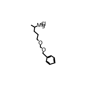 C[CH](CCCOCOCc1ccccc1)[Mg][Cl]